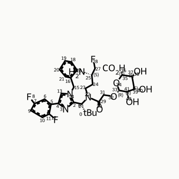 CC(C)(C)[C@H](c1nc(-c2cc(F)ccc2F)cn1Cc1ccccc1)N(CC[C@H](N)CF)C(=O)CO[C@@H]1O[C@H](C(=O)O)[C@@H](O)[C@H](O)[C@H]1O